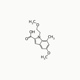 COCCn1c(C(=O)O)cc2cc(OC)cc(C)c21